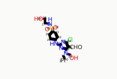 CC(C)CN(CO)c1nc(Nc2ccc(S(=O)(=O)NCCO)cc2)nc(Cl)c1C=O